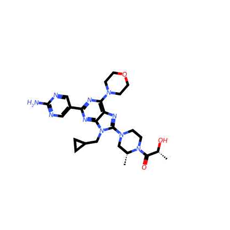 C[C@@H]1CN(c2nc3c(N4CCOCC4)nc(-c4cnc(N)nc4)nc3n2CC2CC2)CCN1C(=O)[C@@H](C)O